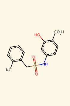 N#Cc1ccccc1CS(=O)(=O)Nc1ccc(C(=O)O)c(O)c1